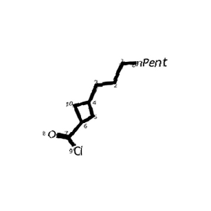 CCCCCCCCC1CC(C(=O)Cl)C1